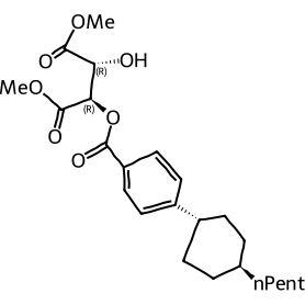 CCCCC[C@H]1CC[C@H](c2ccc(C(=O)O[C@@H](C(=O)OC)[C@@H](O)C(=O)OC)cc2)CC1